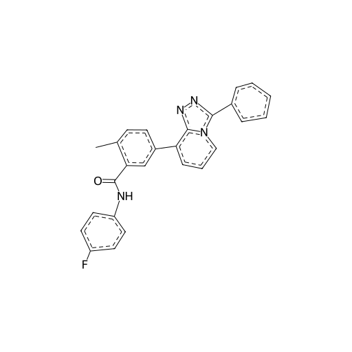 Cc1ccc(-c2cccn3c(-c4ccccc4)nnc23)cc1C(=O)Nc1ccc(F)cc1